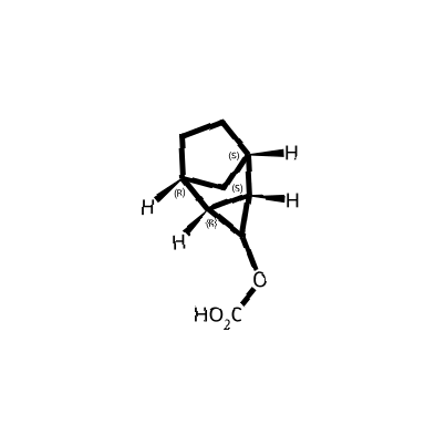 O=C(O)OC1[C@@H]2[C@@H]3CC[C@@H](C3)[C@H]12